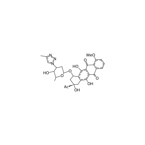 COc1cccc2c1C(=O)c1c(O)c3c(c(O)c1C2=O)C[C@@](O)(C(C)=O)CC3OC1CC(n2cc(C)nn2)C(O)C(C)O1